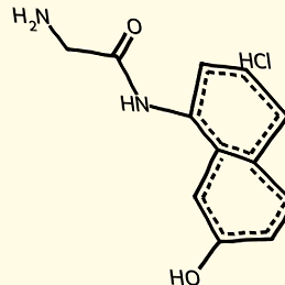 Cl.NCC(=O)Nc1cccc2ccc(O)cc12